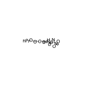 CCCOCCOCCOCCOCCNC(=O)OC[C@H](CN)N1C(=O)C=CC1=O